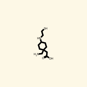 NCC1(CC(=O)O)CCC(NCCS)CC1